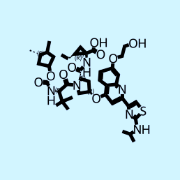 CC[C@@H]1C[C@]1(NC(=O)[C@@H]1C[C@@H](Oc2cc(-c3csc(NC(C)C)n3)nc3cc(OCCO)ccc23)CN1C(=O)[C@@H](NC(=O)OC1CC(C)[C@@H](C)C1)C(C)(C)C)C(=O)O